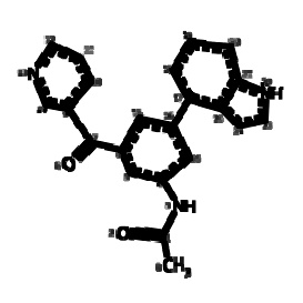 CC(=O)Nc1cc(C(=O)c2cccnc2)cc(-c2cccc3[nH]ccc23)c1